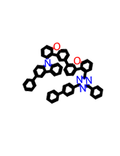 c1ccc(-c2ccc(-c3nc(-c4ccccc4)nc(-c4cccc5oc6c(-c7ccc8oc9cccc(-n%10c%11ccccc%11c%11cc(-c%12ccccc%12)ccc%11%10)c9c8c7)cccc6c45)n3)cc2)cc1